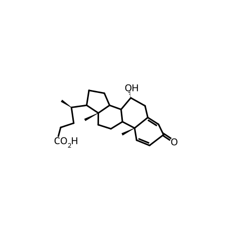 C[C@H](CCC(=O)O)C1CCC2C3C(CC[C@@]21C)[C@@]1(C)C=CC(=O)C=C1C[C@H]3O